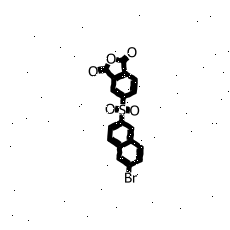 O=C1OC(=O)c2cc(S(=O)(=O)c3ccc4cc(Br)ccc4c3)ccc21